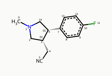 CN1C[C@@H](CC#N)[C@@H](c2ccc(F)cc2)C1